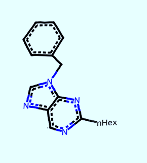 CCCCCCc1n[c]c2ncn(Cc3ccccc3)c2n1